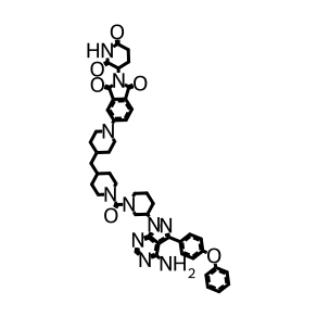 Nc1ncnc2c1c(-c1ccc(Oc3ccccc3)cc1)nn2C1CCCN(C(=O)N2CCC(CC3CCN(c4ccc5c(c4)C(=O)N(C4CCC(=O)NC4=O)C5=O)CC3)CC2)C1